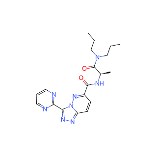 CCCN(CCC)C(=O)[C@@H](C)NC(=O)c1ccc2nnc(-c3ncccn3)n2n1